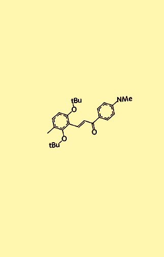 CNc1ccc(C(=O)/C=C/c2c(OC(C)(C)C)ccc(C)c2OC(C)(C)C)cc1